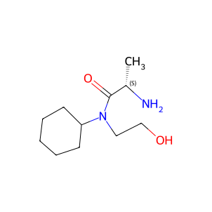 C[C@H](N)C(=O)N(CCO)C1CCCCC1